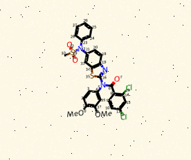 COc1ccc(N(C(=O)c2ccc(Cl)cc2Cl)c2nc3ccc(N(c4ccccc4)S(C)(=O)=O)cc3s2)cc1OC